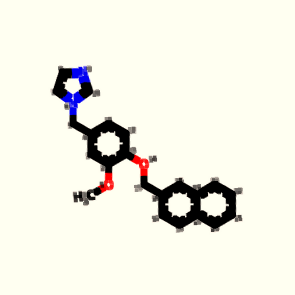 COc1cc(Cn2ccnc2)ccc1OCc1ccc2ccccc2c1